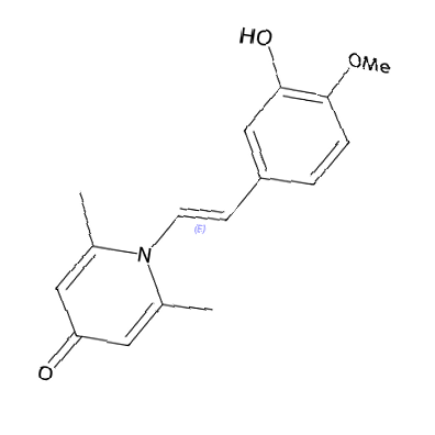 COc1ccc(/C=C/n2c(C)cc(=O)cc2C)cc1O